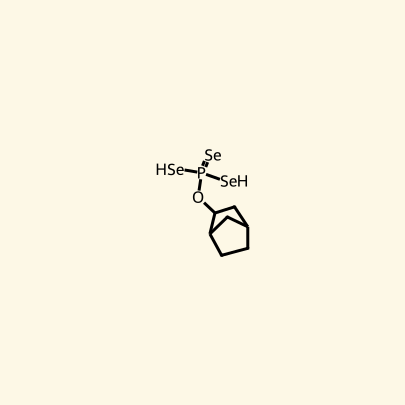 [Se]=P([SeH])([SeH])OC1CC2CCC1C2